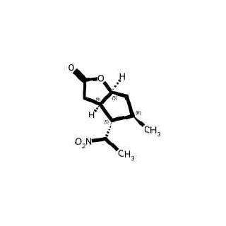 CC([C@@H]1[C@H]2CC(=O)O[C@H]2C[C@H]1C)[N+](=O)[O-]